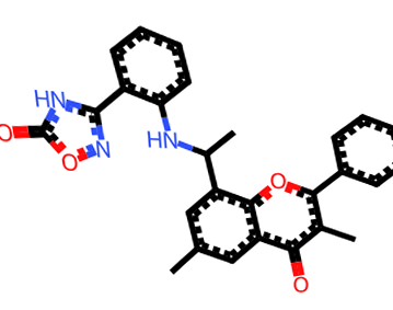 Cc1cc(C(C)Nc2ccccc2-c2noc(=O)[nH]2)c2oc(-c3ccccc3)c(C)c(=O)c2c1